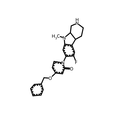 CN1c2cc(-n3ccc(OCc4ccccc4)cc3=O)c(F)cc2C2CCNCC21